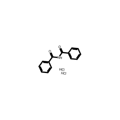 Cl.Cl.O=C(NC(=O)c1ccccc1)c1ccccc1